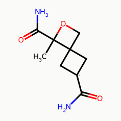 CC1(C(N)=O)OCC12C[C](C(N)=O)C2